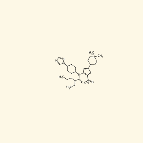 CCCC(CC)C(=O)N(c1cc(C2CCC(C)(C)CC2)sc1C(=O)O)C1CCC(n2cncn2)CC1